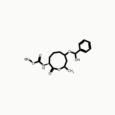 CC1CC(OC(O)c2ccccc2)CCC[C@H](NC(=O)OC(C)(C)C)C(=O)O1